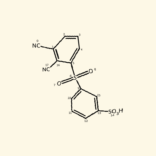 N#Cc1cccc(S(=O)(=O)c2cccc(S(=O)(=O)O)c2)c1C#N